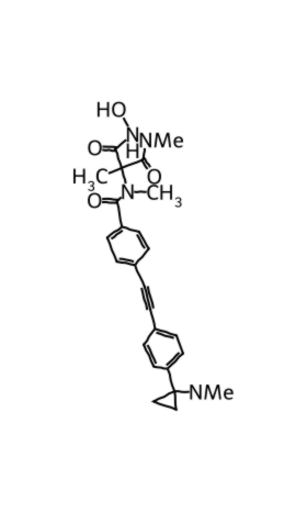 CNC(=O)C(C)(C(=O)NO)N(C)C(=O)c1ccc(C#Cc2ccc(C3(NC)CC3)cc2)cc1